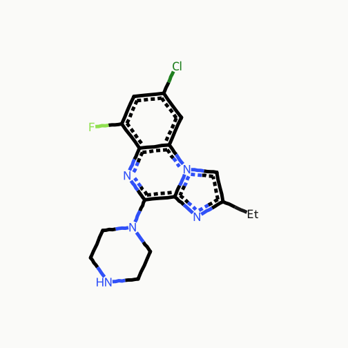 CCc1cn2c(n1)c(N1CCNCC1)nc1c(F)cc(Cl)cc12